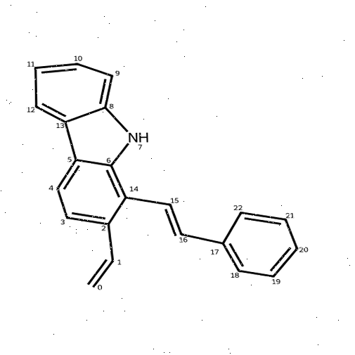 C=Cc1ccc2c([nH]c3ccccc32)c1C=Cc1ccccc1